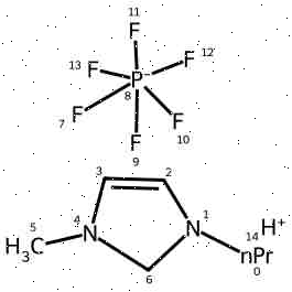 CCCN1C=CN(C)C1.F[P-](F)(F)(F)(F)F.[H+]